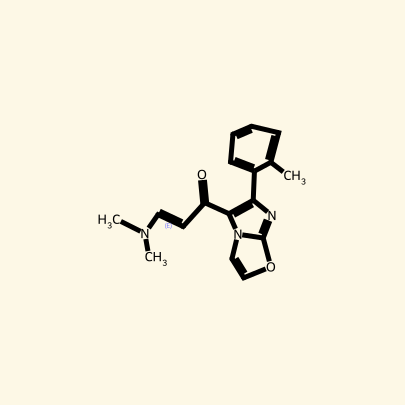 Cc1ccccc1-c1nc2occn2c1C(=O)/C=C/N(C)C